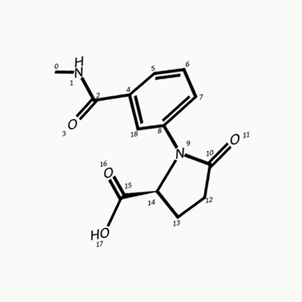 CNC(=O)c1cccc(N2C(=O)CC[C@H]2C(=O)O)c1